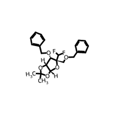 CC1(C)O[C@H]2O[C@@](COCc3ccccc3)(C(F)F)[C@@H](OCc3ccccc3)[C@H]2O1